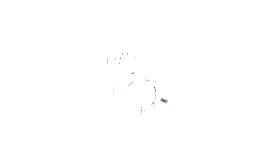 N.O=[PH](O)O[PH](=O)O.[Mn]